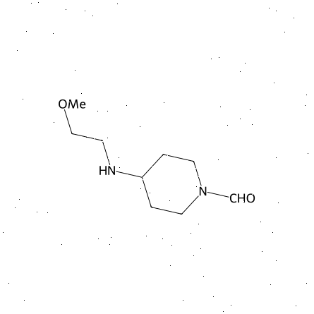 COCCNC1CCN(C=O)CC1